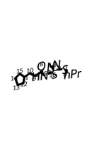 CCCSc1nnc(NC(=O)CCC2CCCC2)s1